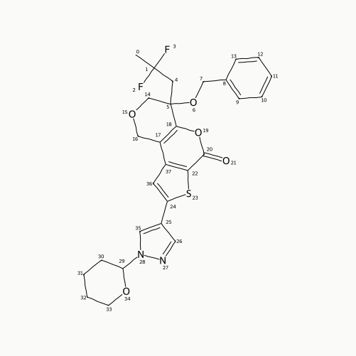 CC(F)(F)CC1(OCc2ccccc2)COCc2c1oc(=O)c1sc(-c3cnn(C4CCCCO4)c3)cc21